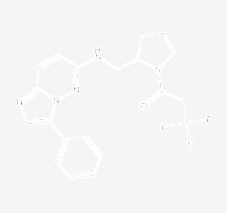 O=C(CC(F)(F)F)N1CCCC1CNc1ccc2ncc(-c3ccccc3)n2n1